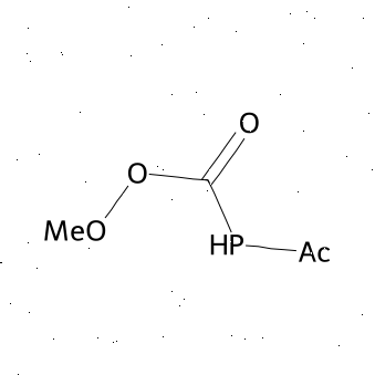 COOC(=O)PC(C)=O